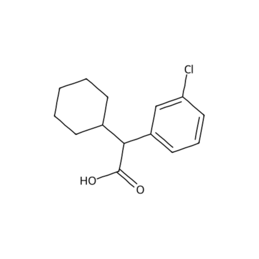 O=C(O)C(c1cccc(Cl)c1)C1CCCCC1